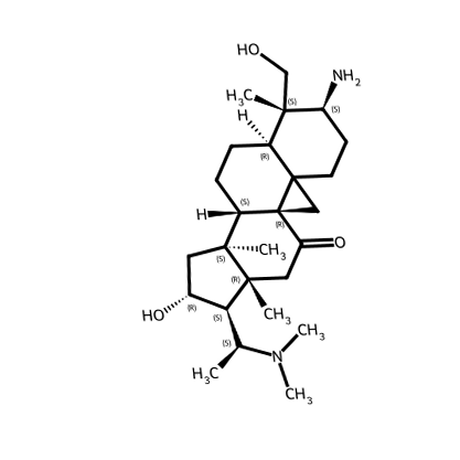 C[C@@H]([C@H]1[C@H](O)C[C@@]2(C)[C@@H]3CC[C@@H]4C5(CC[C@H](N)[C@@]4(C)CO)C[C@@]35C(=O)C[C@]12C)N(C)C